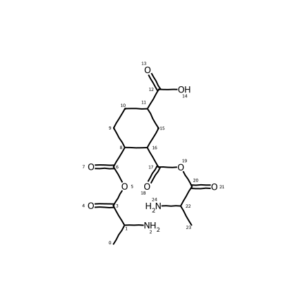 CC(N)C(=O)OC(=O)C1CCC(C(=O)O)CC1C(=O)OC(=O)C(C)N